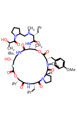 CCC(C)[C@@H]1NC(=O)[C@H](NC(=O)[C@@H](CC(C)C)N(C)CC2CCCN2C(=O)[C@@H](C)O)[C@H](C)OC(=O)[C@H](Cc2ccc(OC)cc2)N(C)C(=O)[C@@H]2CCCN2C(=O)[C@H](CC(C)C)NC(=O)[C@H](C(C)C)OC(=O)C[C@@H]1O